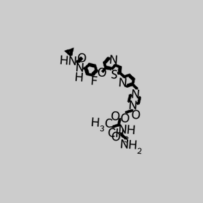 CC(C)[C@H](NC(=O)CN)C(=O)OCC(=O)N1CCN(Cc2ccc(-c3cc4nccc(Oc5ccc(NC(=O)NC6CC6)cc5F)c4s3)nc2)CC1